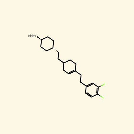 CCCCCC[C@H]1CC[C@H](CCC2CC=C(CCc3ccc(F)c(F)c3)CC2)CC1